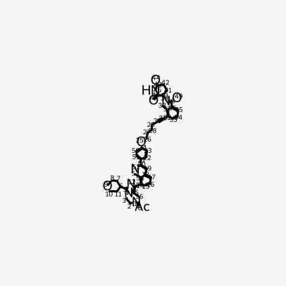 CC(=O)N1CCn2c(C3CCOCC3)nc(-c3cccc4cc(-c5ccc(OCCCCC#Cc6cccc7c6CN(C6CCC(=O)NC6=O)C7=O)cc5)ncc34)c2C1